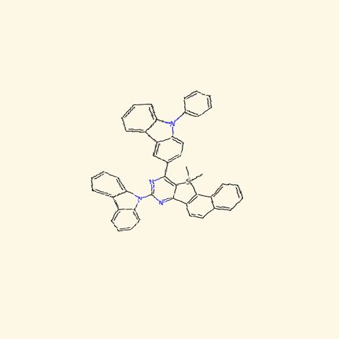 C[Si]1(C)c2c(-c3ccc4c(c3)c3ccccc3n4-c3ccccc3)nc(-n3c4ccccc4c4ccccc43)nc2-c2ccc3ccccc3c21